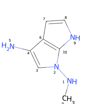 CNn1cc(N)c2cc[nH]c21